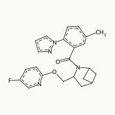 Cc1ccc(-n2cccn2)c(C(=O)N2C(COc3ccc(F)cn3)CC3CC2C3)c1